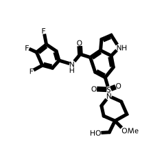 COC1(CO)CCN(S(=O)(=O)c2cc(C(=O)Nc3cc(F)c(F)c(F)c3)c3cc[nH]c3c2)CC1